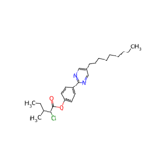 CCCCCCCCCc1cnc(-c2ccc(OC(=O)C(Cl)C(C)CC)cc2)nc1